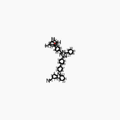 N#Cc1ccc2c(c1)c1ccccc1n2-c1ccc(-c2ccc(-c3nc(-c4ccccc4)nc(-c4ccc(C56C[C@H]7C[C@@H](C5)C[C@@H](C6)C7)cc4)n3)cc2)cc1